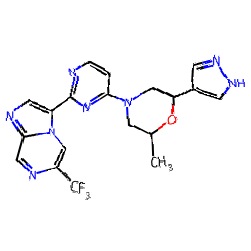 CC1CN(c2ccnc(-c3cnc4cnc(C(F)(F)F)cn34)n2)CC(c2cn[nH]c2)O1